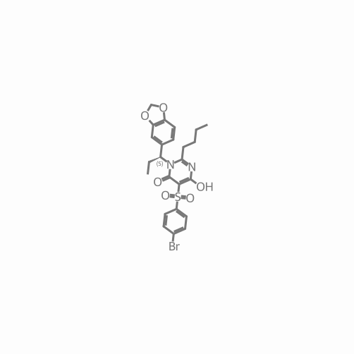 CCCCc1nc(O)c(S(=O)(=O)c2ccc(Br)cc2)c(=O)n1[C@@H](CC)c1ccc2c(c1)OCO2